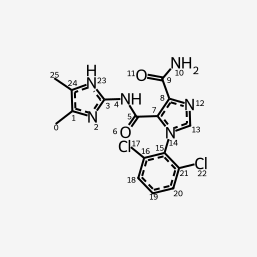 Cc1nc(NC(=O)c2c(C(N)=O)ncn2-c2c(Cl)cccc2Cl)[nH]c1C